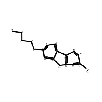 CC[CH]CCc1ccc2c(c1)Cc1cc(Br)ccc1-2